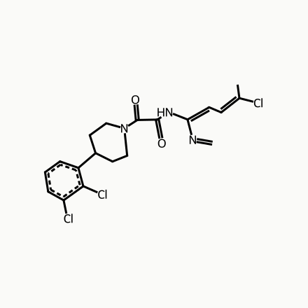 C=N/C(=C\C=C(/C)Cl)NC(=O)C(=O)N1CCC(c2cccc(Cl)c2Cl)CC1